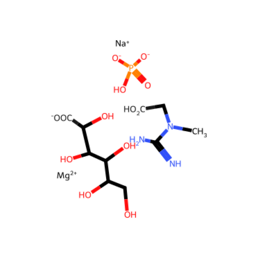 CN(CC(=O)O)C(=N)N.O=C([O-])C(O)C(O)C(O)C(O)CO.O=P([O-])([O-])O.[Mg+2].[Na+]